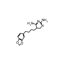 NC1=NCC(CCCCc2ccc3c(c2)OCO3)C(N)=N1